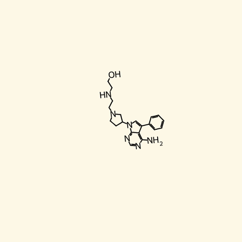 Nc1ncnc2c1c(-c1ccccc1)cn2C1CCN(CCNCCO)C1